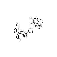 COc1ccccc1-c1c[nH]c2ncc(-c3cccc(CC(N)C(=O)N(C)C4CCN(C)CC4)c3)cc12